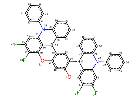 Fc1cc2c3c(c1F)Oc1cc4c(cc1B3c1ccccc1N2c1ccccc1)B1c2ccccc2N(c2ccccc2)c2cc(F)c(F)c(c21)O4